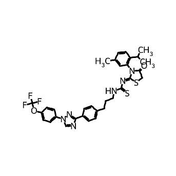 Cc1ccc(C(C)C)c(N2C(=O)CS/C2=N\C(=S)NCCCc2ccc(-c3ncn(-c4ccc(OC(F)(F)F)cc4)n3)cc2)c1